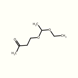 CCOC(C)OCCC(C)=O